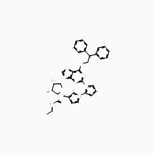 CCNC(=O)[C@H]1O[C@@H](n2cnc3c(NCC(c4ccccc4)c4ccccc4)nc(-n4cccc4-n4ccc(N)c4)nc32)[C@H](O)[C@@H]1O